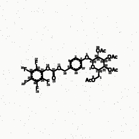 CC(=O)OC[C@H]1O[C@@H](Oc2ccc(COC(=O)Oc3c(F)c(F)c(F)c(F)c3F)cc2)[C@H](OC(C)=O)[C@@H](OC(C)=O)[C@H]1OC(C)=O